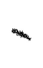 Cc1cc(C(=O)NC2CCc3ncccc3C2)nnc1N1CCC(OCC2CC2)CC1